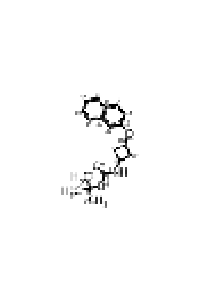 CC(C)(C)OC(=O)NC1CC(Oc2ccc3ccccc3c2)C1